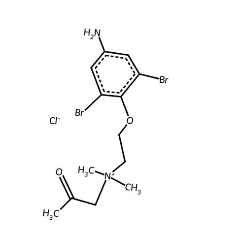 CC(=O)C[N+](C)(C)CCOc1c(Br)cc(N)cc1Br.[Cl-]